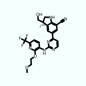 COCCOc1nc(C(F)(F)F)ccc1Nc1nccc(-c2cc(C#N)c3c(c2)[C@@](C)(CO)CN3)n1